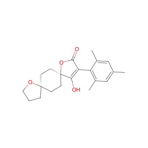 Cc1cc(C)c(C2=C(O)[C@]3(CC[C@@]4(CCCO4)CC3)OC2=O)c(C)c1